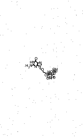 Nc1nc2c(ncn2COCCOP(=O)(O)OP(=O)(O)OP(=O)(O)O)c(=O)[nH]1